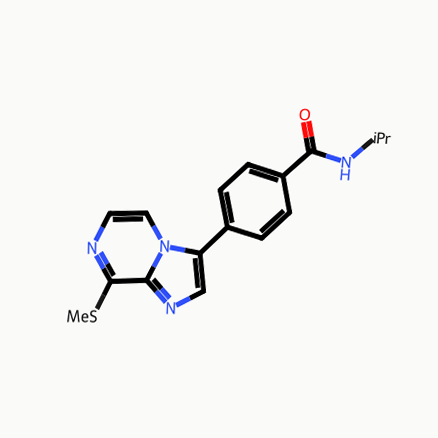 CSc1nccn2c(-c3ccc(C(=O)NC(C)C)cc3)cnc12